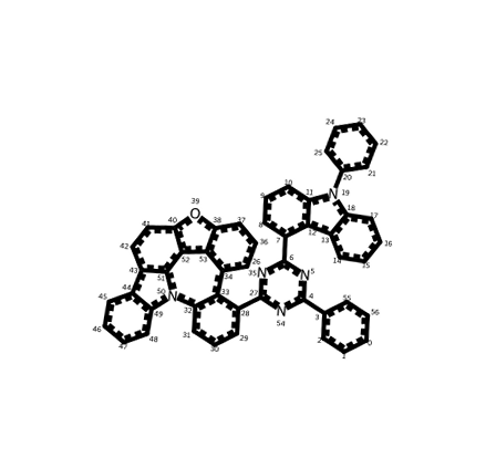 c1ccc(-c2nc(-c3cccc4c3c3ccccc3n4-c3ccccc3)nc(-c3cccc4c3c3cccc5oc6ccc7c8ccccc8n4c7c6c53)n2)cc1